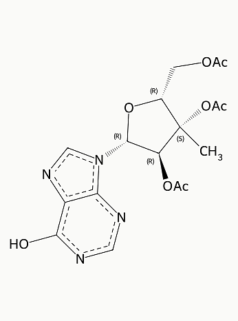 CC(=O)OC[C@H]1O[C@@H](n2cnc3c(O)ncnc32)[C@H](OC(C)=O)[C@@]1(C)OC(C)=O